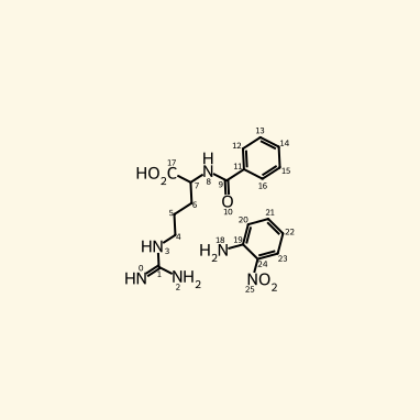 N=C(N)NCCCC(NC(=O)c1ccccc1)C(=O)O.Nc1ccccc1[N+](=O)[O-]